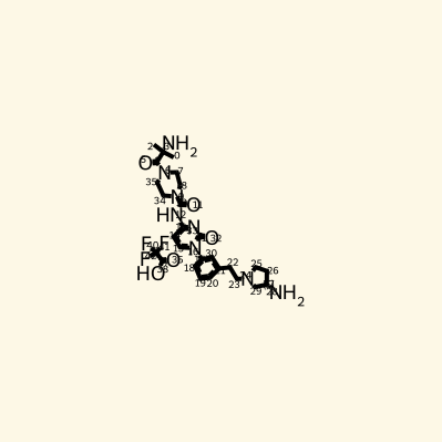 CC(C)(N)C(=O)N1CCN(C(=O)Nc2ccn(-c3cccc(CCN4CC[C@H](N)C4)c3)c(=O)n2)CC1.O=C(O)C(F)(F)F